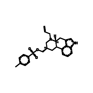 C=CCN1C[C@H](COS(=O)(=O)c2ccc(C)cc2)CC2c3cccc4[nH]cc(c34)C[C@H]21